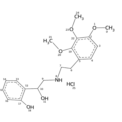 COc1ccc(CCNCC(O)c2ccccc2O)c(OC)c1OC.Cl